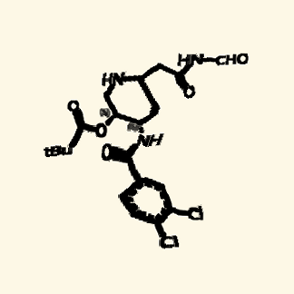 CC(C)(C)C(=O)O[C@H]1CNC(CC(=O)NC=O)C[C@@H]1NC(=O)c1ccc(Cl)c(Cl)c1